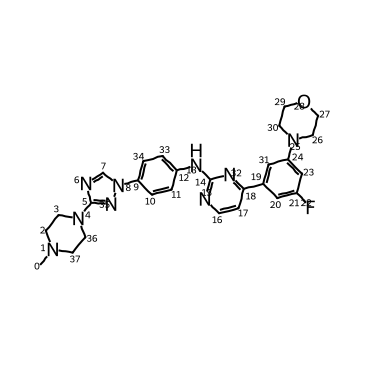 CN1CCN(c2ncn(-c3ccc(Nc4nccc(-c5cc(F)cc(N6CCOCC6)c5)n4)cc3)n2)CC1